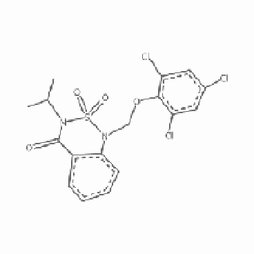 CC(C)N1C(=O)c2ccccc2N(COc2c(Cl)cc(Cl)cc2Cl)S1(=O)=O